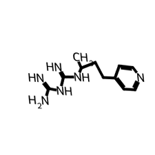 CC(CCc1ccncc1)NC(=N)NC(=N)N